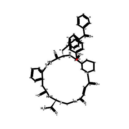 NC(=O)[C@@H]1CCNC(=O)/C=C/C(=O)N2CCC[C@](Cc3ccccc3)(C2)C(=O)N[C@@H](Cc2ccc(C(=O)c3ccccc3)cc2)C(=O)NCc2ccccc2CC(=O)N1